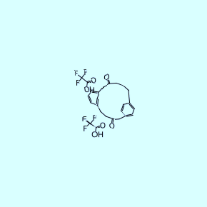 O=C(O)C(F)(F)F.O=C(O)C(F)(F)F.O=C1CCCc2ccc(cc2)CC(=O)CCc2cccc(c2)C1